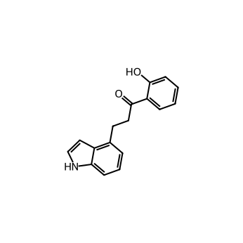 O=C(CCc1cccc2[nH]ccc12)c1ccccc1O